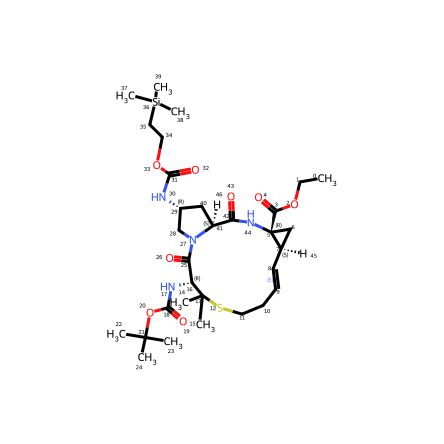 CCOC(=O)[C@@]12C[C@H]1/C=C/CCSC(C)(C)[C@H](NC(=O)OC(C)(C)C)C(=O)N1C[C@H](NC(=O)OCC[Si](C)(C)C)C[C@H]1C(=O)N2